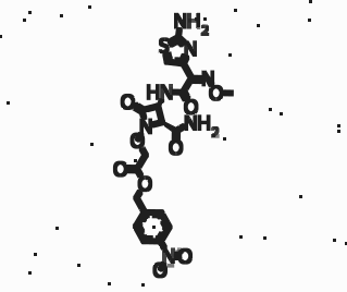 CO/N=C(\C(=O)N[C@@H]1C(=O)N(OCC(=O)OCc2ccc([N+](=O)[O-])cc2)[C@@H]1C(N)=O)c1csc(N)n1